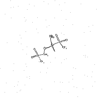 CCCC[Si](C)(O[SiH2]S(=O)(=O)C(F)(F)F)S(=O)(=O)C(F)(F)F